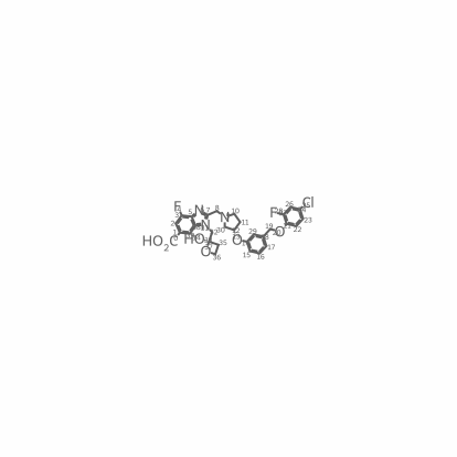 O=C(O)c1cc(F)c2nc(CN3CC[C@H](Oc4cccc(COc5ccc(Cl)cc5F)c4)C3)n(C[C@@]3(O)CCO3)c2c1